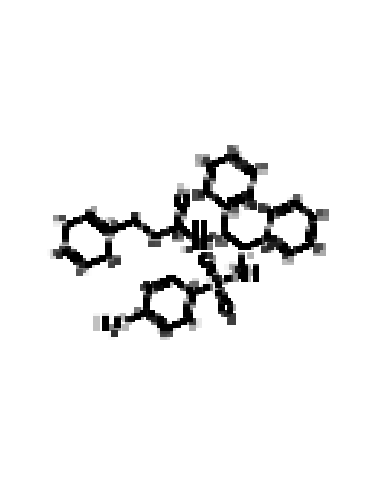 Cc1ccc(S(=O)(=O)N[C@H](c2ccccc2)[C@H](NC(=O)CCC2=CCC=CC2)c2ccccc2)cc1